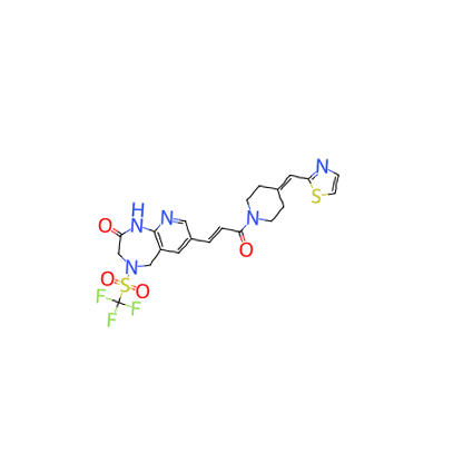 O=C1CN(S(=O)(=O)C(F)(F)F)Cc2cc(/C=C/C(=O)N3CCC(=Cc4nccs4)CC3)cnc2N1